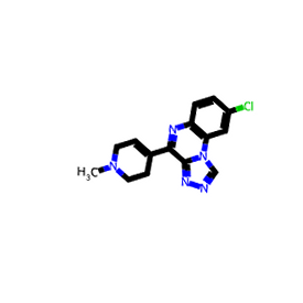 CN1CC=C(c2nc3ccc(Cl)cc3n3cnnc23)CC1